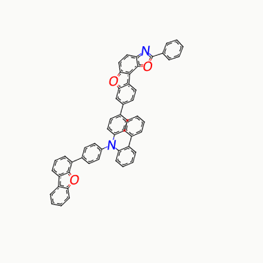 c1ccc(-c2nc3ccc4oc5cc(-c6ccc(N(c7ccc(-c8cccc9c8oc8ccccc89)cc7)c7ccccc7-c7ccccc7)cc6)ccc5c4c3o2)cc1